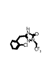 O=c1[nH]c(Cc2ccccc2Cl)nn1CC(F)(F)F